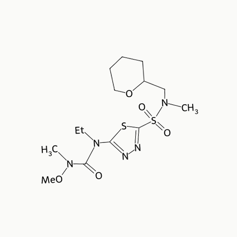 CCN(C(=O)N(C)OC)c1nnc(S(=O)(=O)N(C)CC2CCCCO2)s1